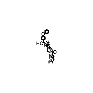 CC(C)Cc1cc(C(=O)N2CCCN(c3nc(C(O)c4ccc(Oc5ccccc5)cc4)ns3)CC2)no1